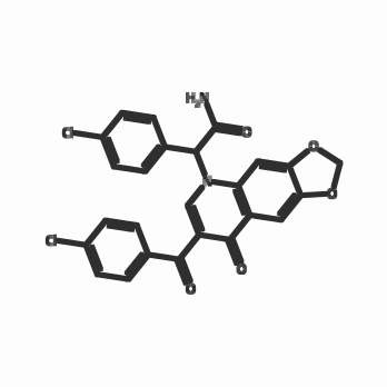 NC(=O)C(c1ccc(Cl)cc1)n1cc(C(=O)c2ccc(Cl)cc2)c(=O)c2cc3c(cc21)OCO3